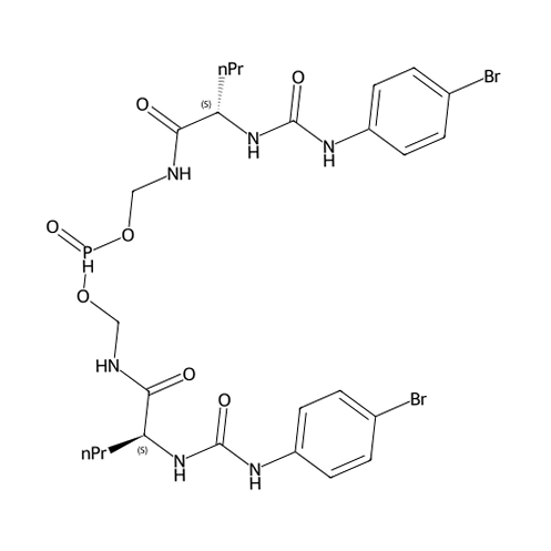 CCC[C@H](NC(=O)Nc1ccc(Br)cc1)C(=O)NCO[PH](=O)OCNC(=O)[C@H](CCC)NC(=O)Nc1ccc(Br)cc1